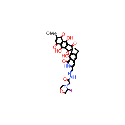 COC1=CC(=O)c2c(O)c3c(c(O)c2C1=O)C(=O)[C@]1(CCc2cc4cc(C=NNC(=O)CN5CCOCC5I)[nH]c(=O)c4c(O)c21)C3=O